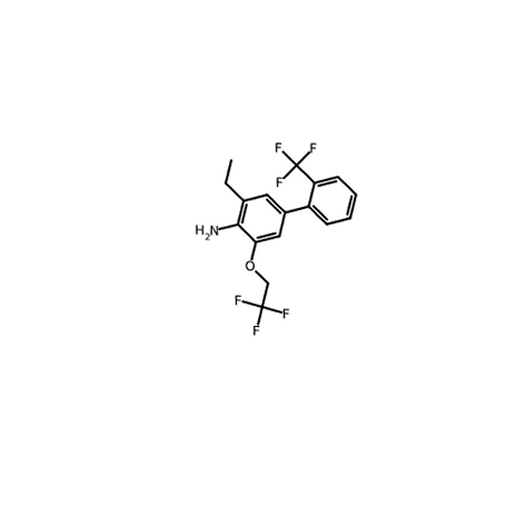 CCc1cc(-c2ccccc2C(F)(F)F)cc(OCC(F)(F)F)c1N